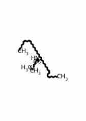 CCCCC/C=C\C/C=C\CCCCCCCCC(CCCCCCCC/C=C\C/C=C\CCCCC)NC(=O)OCCCN(C)C